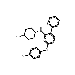 O[C@H]1CC[C@H](Nc2nc(Nc3ccc(Br)cc3)ncc2-c2ccccn2)CC1